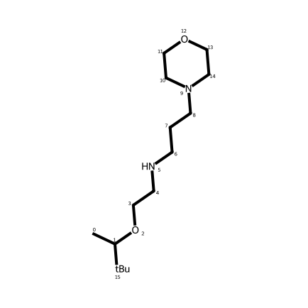 CC(OCCNCCCN1CCOCC1)C(C)(C)C